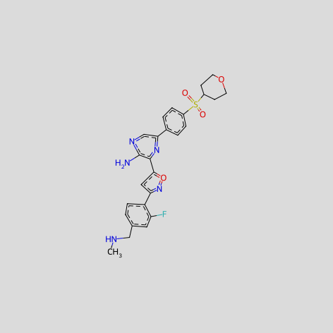 CNCc1ccc(-c2cc(-c3nc(-c4ccc(S(=O)(=O)C5CCOCC5)cc4)cnc3N)on2)c(F)c1